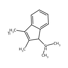 CC1=C(C)C([SiH](C)C)c2ccccc21.[Ti]